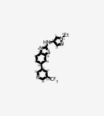 CCn1cc(Nc2nc3ccc(-c4cncc(C(F)(F)F)c4)cc3s2)cn1